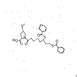 CSC1CC(C(=O)O)N(C(=O)CCCCC(CCSC(=O)c2ccccc2)SC(=O)c2ccccc2)C1